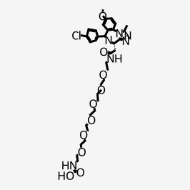 COc1ccc2c(c1)C(c1ccc(Cl)cc1)=N[C@@H](CC(=O)NCCOCCOCCOCCOCCOCCOCCNC(=O)O)c1nnc(C)n1-2